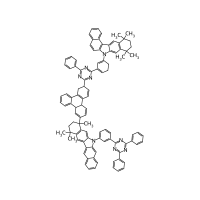 CC1(C)CCC(C)(C)c2cc3c(cc21)c1c2ccccc2ccc1n3C1=CC(c2nc(-c3ccccc3)nc(C3C=CC4=C(C3)c3ccccc3C3C=C(C5(C)CCC(C)(C)c6cc7c8cc9ccccc9cc8n(-c8cccc(-c9nc(-c%10ccccc%10)nc(-c%10ccccc%10)n9)c8)c7cc65)C=CC43)n2)=CCC1